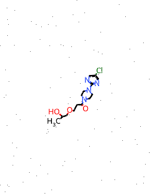 CC(O)COCCC(=O)N1CCN(c2ncc(Cl)cn2)CC1